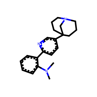 CN(C)c1[c]cccc1-c1ccc(C23CCCN(CCC2)C3)cn1